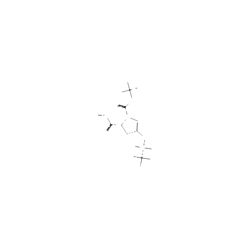 COC(=O)[C@@H]1CC(O[Si](C)(C)C(C)(C)C)CN1C(=O)OC(C)(C)C